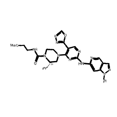 COCCNC(=O)N1CCN(c2nc(Nc3cc4c(cn3)cnn4C(C)C)ncc2-c2nnco2)C[C@@H]1C(C)C